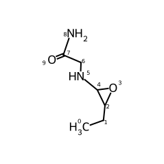 CCC1OC1NCC(N)=O